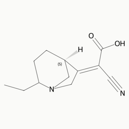 CCC1CC[C@@H]2CN1CC2=C(C#N)C(=O)O